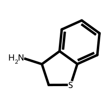 NC1CSc2ccccc21